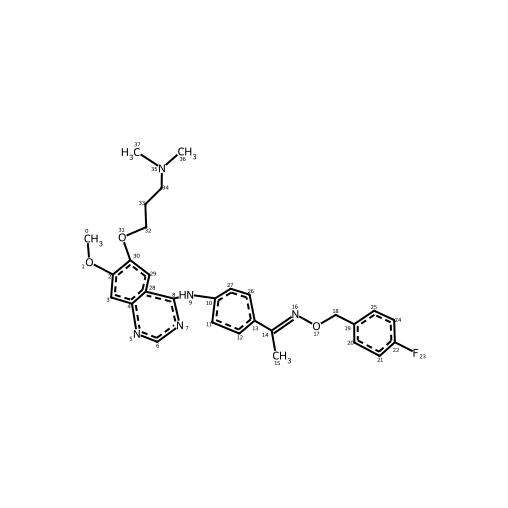 COc1cc2ncnc(Nc3ccc(C(C)=NOCc4ccc(F)cc4)cc3)c2cc1OCCCN(C)C